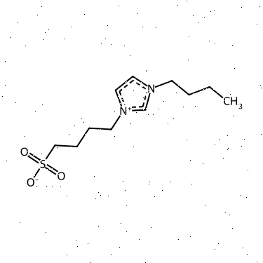 CCCCn1cc[n+](CCCCS(=O)(=O)[O-])c1